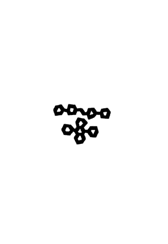 C(=Cc1ccc(-c2ccccc2)cc1)c1ccc(-c2ccccc2)cc1.c1ccc(-c2c3ccccc3c(-c3ccccc3)c3ccccc23)cc1